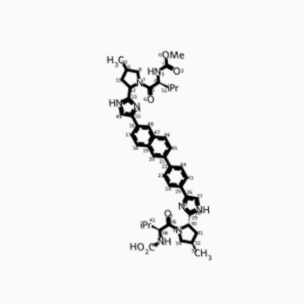 COC(=O)N[C@H](C(=O)N1CC(C)CC1c1nc(-c2ccc3cc(-c4ccc(-c5c[nH]c([C@@H]6C[C@@H](C)CN6C(=O)[C@@H](NC(=O)O)C(C)C)n5)cc4)ccc3c2)c[nH]1)C(C)C